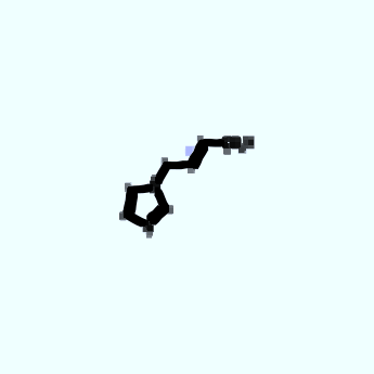 O=C(O)/C=C/Cn1ccnc1